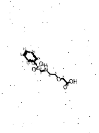 O=C(O)COCCNCS(=O)(=O)c1ccccc1